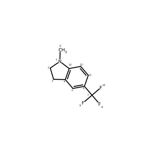 CN1CCc2cc(C(F)(F)F)ccc21